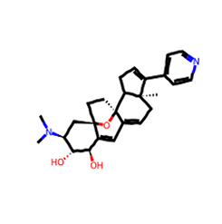 CN(C)[C@H]1C[C@@]23CC[C@@]4(O2)C(=CC[C@]2(C)C(c5ccncc5)=CCC24)C=C3[C@@H](O)[C@@H]1O